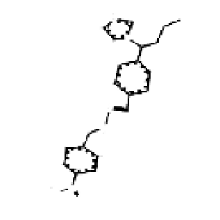 CCCC(c1ccc(/C=N/OCc2ccc([N+](=O)[O-])cc2)cc1)n1ccnc1